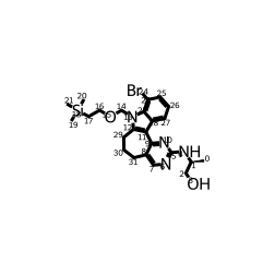 C[C@@H](CO)Nc1ncc2c(n1)-c1c(n(COCC[Si](C)(C)C)c3c(Br)cccc13)CCC2